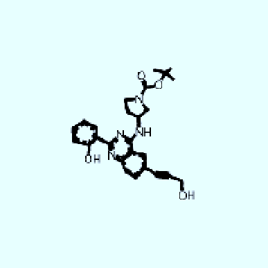 CC(C)(C)OC(=O)N1CCC(Nc2nc(-c3ccccc3O)nc3ccc(C#CCO)cc23)C1